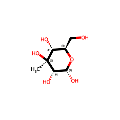 C[C@]1(O)[C@H](O)[C@@H](CO)O[C@H](O)[C@@H]1O